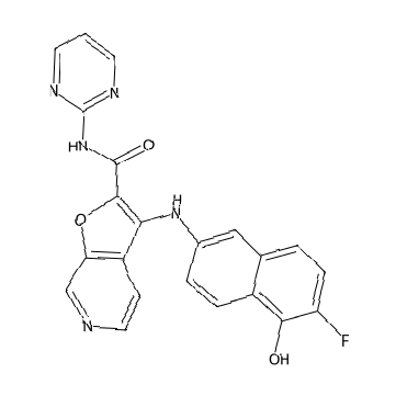 O=C(Nc1ncccn1)c1oc2cnccc2c1Nc1ccc2c(O)c(F)ccc2c1